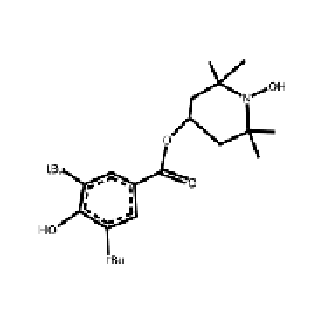 CC(C)(C)c1cc(C(=O)OC2CC(C)(C)N(O)C(C)(C)C2)cc(C(C)(C)C)c1O